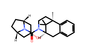 CC1(C)[C@H]2Cc3ccccc3[C@]1(C)CCN2C(=O)N1[C@@H]2CC[C@H]1C[C@@H](O)C2